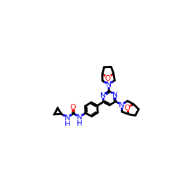 O=C(Nc1ccc(-c2cc(N3CC4CCC(C3)O4)nc(N3CC4CCC(C3)O4)n2)cc1)NC1CC1